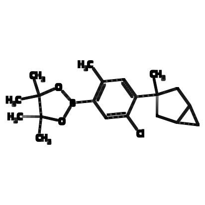 Cc1cc(C2(C)CC3CC3C2)c(Cl)cc1B1OC(C)(C)C(C)(C)O1